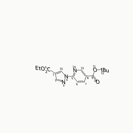 CCOC(=O)c1cnn(-c2ccc(C(=O)OC(C)(C)C)cn2)c1